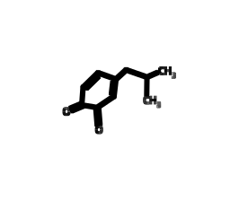 CC(C)CC1=CC(=O)C(=O)C=C1